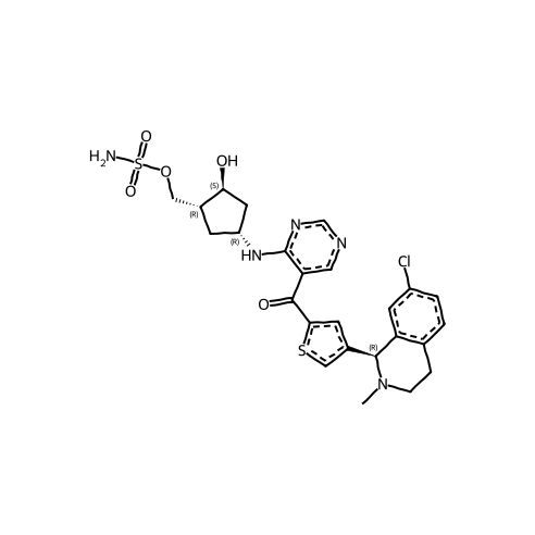 CN1CCc2ccc(Cl)cc2[C@@H]1c1csc(C(=O)c2cncnc2N[C@@H]2C[C@H](COS(N)(=O)=O)[C@@H](O)C2)c1